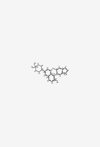 Cc1cc2ccsc2cc1-c1c2ccc(C3CCC(C)(C)CC3)cc2cc[n+]1C